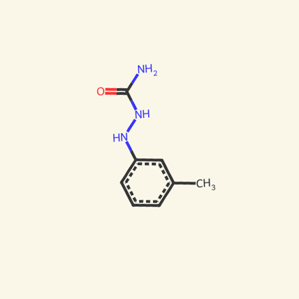 Cc1cccc(NNC(N)=O)c1